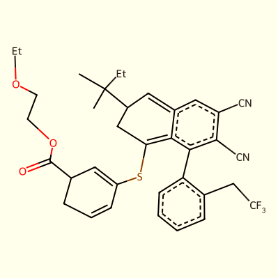 CCOCCOC(=O)C1C=C(SC2=c3c(-c4ccccc4CC(F)(F)F)c(C#N)c(C#N)cc3=CC(C(C)(C)CC)C2)C=CC1